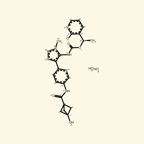 C[C@@H](OC(=O)Nc1c(-c2ccc(NC(=O)C34CC(O)(C3)C4)cn2)nnn1C)c1cccnc1Cl.Cl.Cl